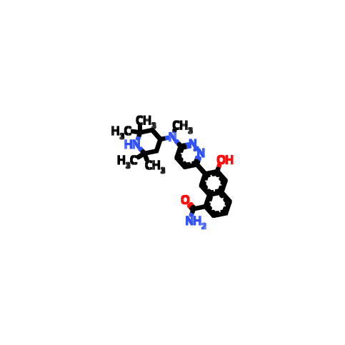 CN(c1ccc(-c2cc3c(C(N)=O)cccc3cc2O)nn1)C1CC(C)(C)NC(C)(C)C1